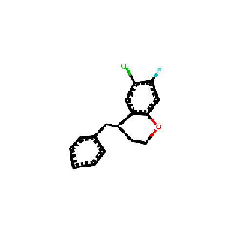 Fc1cc2c(cc1Cl)C(Cc1ccccc1)CCO2